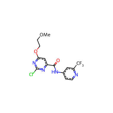 COCCOc1cc(C(=O)Nc2ccnc(C(F)(F)F)c2)nc(Cl)n1